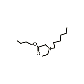 CCCCCCN(CC)CC(=O)OCCCC